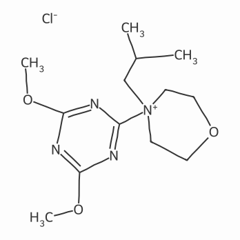 COc1nc(OC)nc([N+]2(CC(C)C)CCOCC2)n1.[Cl-]